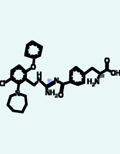 N/C(=N\C(=O)c1ccc(C[C@H](N)C(=O)O)cc1)NCc1c(Oc2ccccc2)ccc(Cl)c1N1CCCCCC1